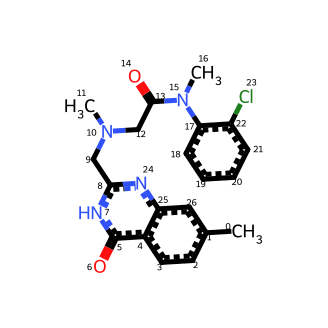 Cc1ccc2c(=O)[nH]c(CN(C)CC(=O)N(C)c3ccccc3Cl)nc2c1